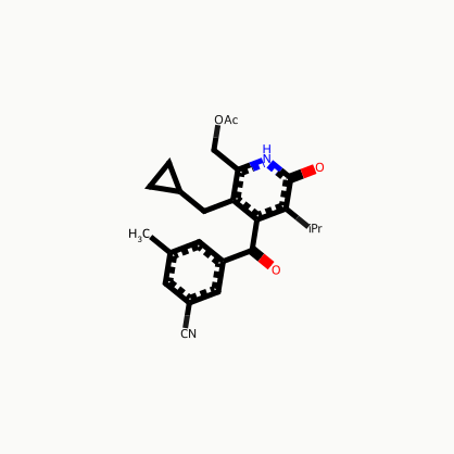 CC(=O)OCc1[nH]c(=O)c(C(C)C)c(C(=O)c2cc(C)cc(C#N)c2)c1CC1CC1